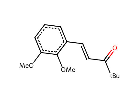 COc1cccc(C=CC(=O)C(C)(C)C)c1OC